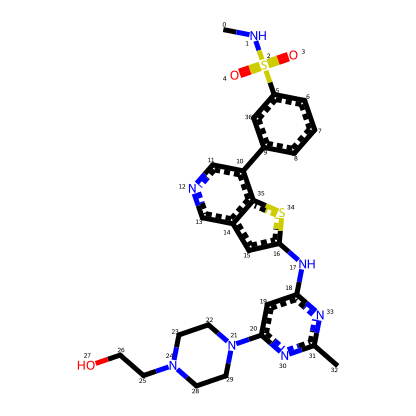 CNS(=O)(=O)c1cccc(-c2cncc3cc(Nc4cc(N5CCN(CCO)CC5)nc(C)n4)sc23)c1